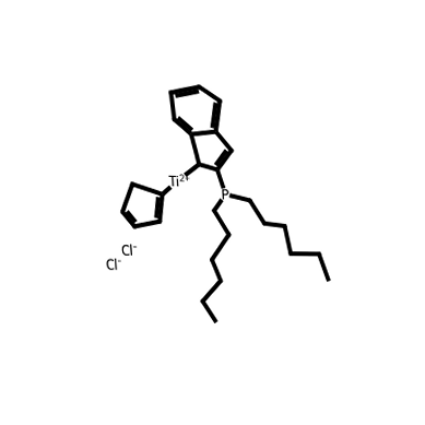 CCCCCCP(CCCCCC)C1=Cc2ccccc2[CH]1[Ti+2][C]1=CC=CC1.[Cl-].[Cl-]